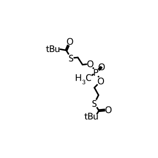 CC(C)(C)C(=O)SCCOP(C)(=O)OCCSC(=O)C(C)(C)C